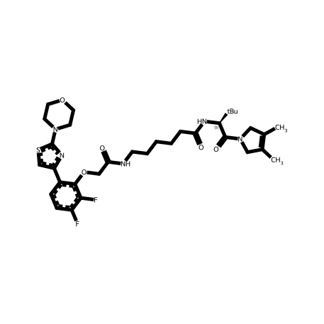 CC1=C(C)CN(C(=O)[C@@H](NC(=O)CCCCCNC(=O)COc2c(-c3csc(N4CCOCC4)n3)ccc(F)c2F)C(C)(C)C)C1